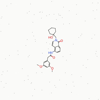 COc1cc(CC(=O)Nc2cccc3c(=O)n(CC4(O)CCCCC4)ccc23)cc(OC)c1